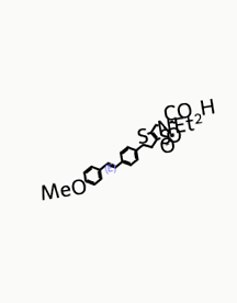 CCC(C(=O)O)N1CC2=C(CC(c3ccc(/C=C/c4ccc(OC)cc4)cc3)S2)S1(=O)=O